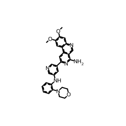 COc1cc2ncc3c(N)nc(-c4cncc(Nc5ccccc5N5CCOCC5)c4)cc3c2cc1OC